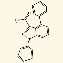 NC(=O)c1nn(-c2ccccc2)c2cccc(-c3ccccc3)c12